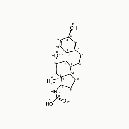 C[C@]12CCC3C(CCC4=C[C@H](O)C=C[C@@]43C)C1CCC2NC(=O)O